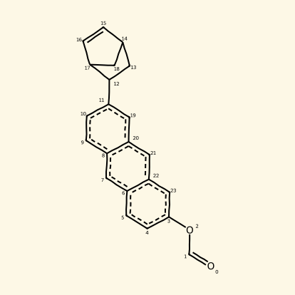 O=COc1ccc2cc3ccc(C4CC5C=CC4C5)cc3cc2c1